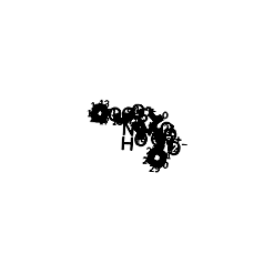 C=C1C[S+]([O-])[C@H]2C(NC(=O)COc3ccccc3)C(=O)N2C1C(=O)OC(c1ccccc1)[N+](=O)[O-]